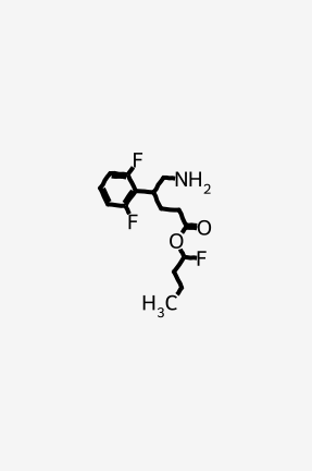 CCCC(F)OC(=O)CCC(CN)c1c(F)cccc1F